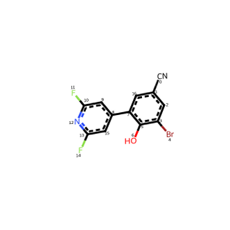 N#Cc1cc(Br)c(O)c(-c2cc(F)nc(F)c2)c1